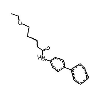 CCOCCCCC(=O)Nc1ccc(-c2ccccc2)cc1